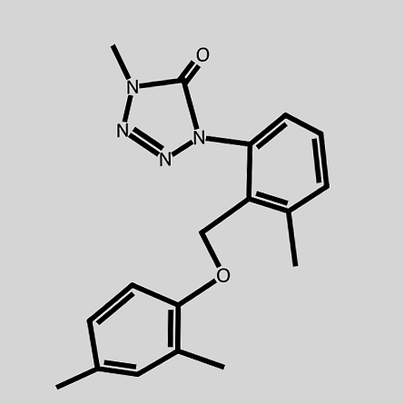 Cc1ccc(OCc2c(C)cccc2-n2nnn(C)c2=O)c(C)c1